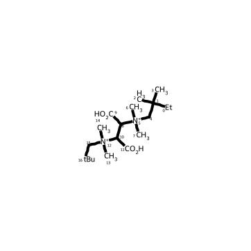 CCC(C)(C)C[N+](C)(C)C(C(=O)O)C(C(=O)O)[N+](C)(C)CC(C)(C)C